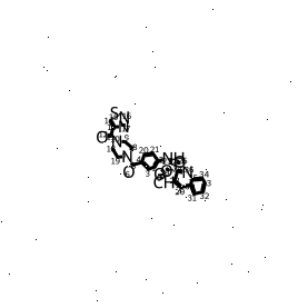 COc1cc(C(=O)N2CCN(C(=O)c3csnn3)CC2)ccc1NS(=O)(=O)c1ccc2ccccc2n1